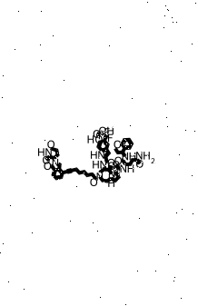 NC(=O)CCC(NC(=O)[C@@H]1CC[C@@H]2CCN(C(=O)CCCCCC#Cc3cccc4c3CN(C3CCC(=O)NC3=O)C4=O)C[C@H](NC(=O)c3cc4cc(C(F)(F)P(=O)(O)O)ccc4[nH]3)C(=O)N21)C(=O)NC1CCOc2ccccc21